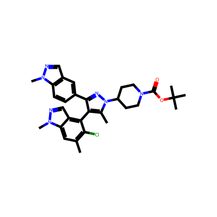 Cc1cc2c(cnn2C)c(-c2c(-c3ccc4c(cnn4C)c3)nn(C3CCN(C(=O)OC(C)(C)C)CC3)c2C)c1Cl